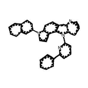 c1ccc(-c2cccc(-n3c4cccnc4c4ccc5c(ccn5-c5ccc6ccccc6c5)c43)n2)cc1